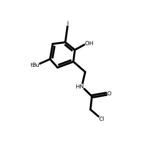 CC(C)(C)c1cc(I)c(O)c(CNC(=O)CCl)c1